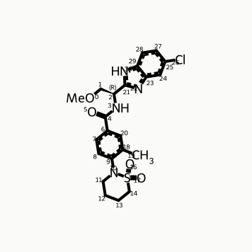 COC[C@H](NC(=O)c1ccc(N2CCCCS2(=O)=O)c(C)c1)c1nc2cc(Cl)ccc2[nH]1